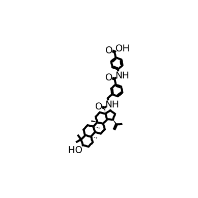 C=C(C)[C@@H]1CC[C@]2(C(=O)NCc3cccc(C(=O)Nc4ccc(C(=O)O)cc4)c3)CC[C@]3(C)C(CCC4[C@@]5(C)CC[C@H](O)C(C)(C)C5CC[C@]43C)C12